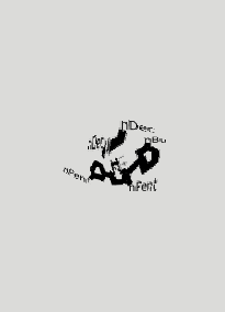 CCCCCC1=C(c2cccc(CCCC)c2)[N+](=[N-])C(c2cccc(CCCCC)c2)=C1.CCCCCCCCCC[CH2][Ni][CH2]CCCCCCCCCC